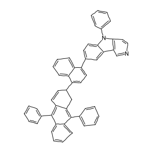 C1=CC(c2ccc(-c3ccc4c(c3)c3cnccc3n4-c3ccccc3)c3ccccc23)Cc2c1c(-c1ccccc1)c1ccccc1c2-c1ccccc1